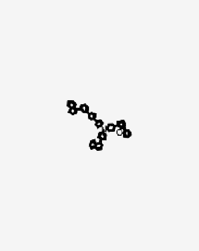 c1cc(-c2ccc(-c3ccc(N(c4ccc(-c5cccc6ccccc56)cc4)c4ccc(-c5cccc6c5oc5ccccc56)cc4)cc3)cc2)cc(-c2cccc3ccccc23)c1